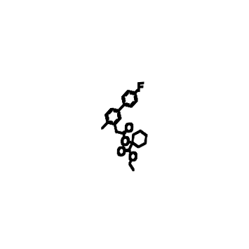 CCOC(=O)C1(OC(=O)Cc2cc(-c3ccc(F)cc3)ccc2C)CCCCC1